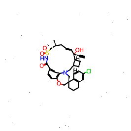 C#C[C@@]1(O)/C=C/C[C@H](C)[C@@H](C)S(=O)(=O)NC(=O)c2ccc3c(c2)N(C[C@@H]2CC[C@H]21)C[C@@]1(CCCc2cc(Cl)ccc21)CO3